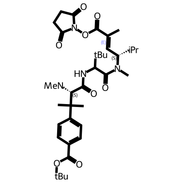 CN[C@H](C(=O)NC(C(=O)N(C)[C@H](/C=C(\C)C(=O)ON1C(=O)CCC1=O)C(C)C)C(C)(C)C)C(C)(C)c1ccc(C(=O)OC(C)(C)C)cc1